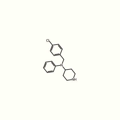 Clc1ccc(CN(c2ccccc2)C2CCNCC2)cc1